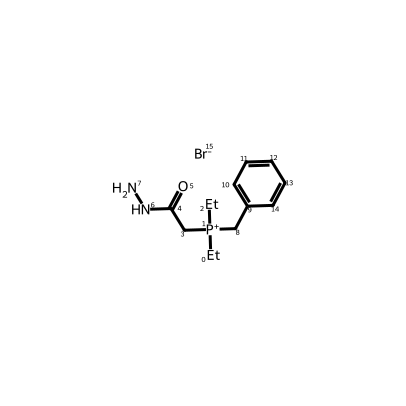 CC[P+](CC)(CC(=O)NN)Cc1ccccc1.[Br-]